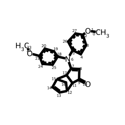 COc1ccc(N(C2=CC(=O)C3C4C=CC(C4)C23)c2ccc(OC)cc2)cc1